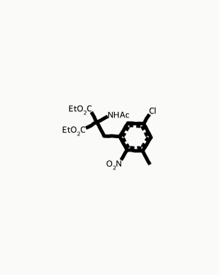 CCOC(=O)C(Cc1cc(Cl)cc(C)c1[N+](=O)[O-])(NC(C)=O)C(=O)OCC